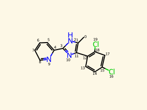 Cc1[nH]c(-c2ccccn2)nc1-c1ccc(Cl)cc1Cl